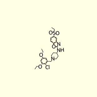 CCOc1cc(CN2CCC(Nc3nc4cc(S(=O)(=O)CC)ccc4o3)CC2)c(Cl)c(OCC)c1